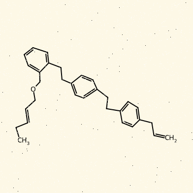 C=CCc1ccc(CCc2ccc(CCc3ccccc3COCC=CCC)cc2)cc1